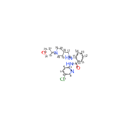 O=C(Nc1ccc(Cl)cn1)c1ccccc1NCC1CCN(C2CCOCC2)CC1